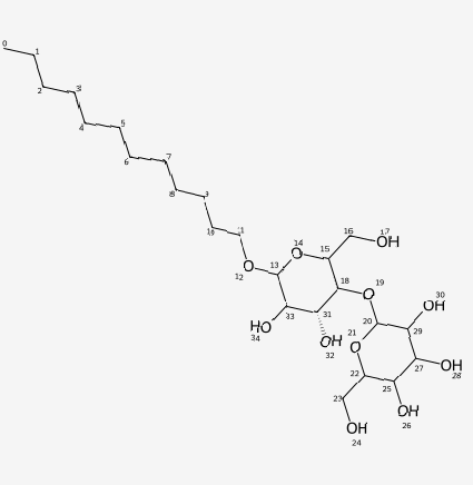 CCCCCCCCCCCCOC1OC(CO)C(OC2OC(CO)C(O)C(O)C2O)[C@H](O)C1O